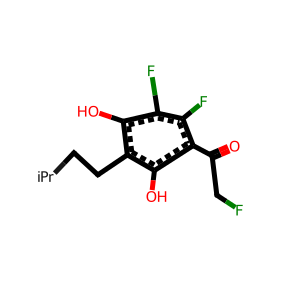 CC(C)CCc1c(O)c(F)c(F)c(C(=O)CF)c1O